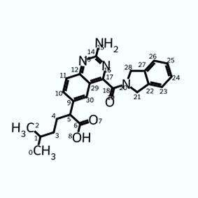 CC(C)CCC(C(=O)O)c1ccc2nc(N)nc(C(=O)N3Cc4ccccc4C3)c2c1